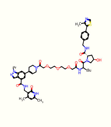 Cc1cc(C)c(CNC(=O)c2cc(C3=CCN(C(=O)COCCOCCOCC(=O)NC(C(=O)N4C[C@H](O)C[C@H]4C(=O)NCc4ccc(-c5scnc5C)cc4)C(C)(C)C)CC3)cc3c2cnn3C(C)C)c(=O)[nH]1